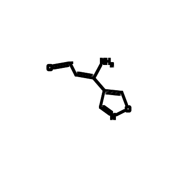 N/C(=C\[C]=O)c1cnoc1